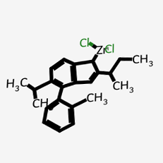 CCC(C)C1=Cc2c(ccc(C(C)C)c2-c2ccccc2C)[CH]1[Zr]([Cl])[Cl]